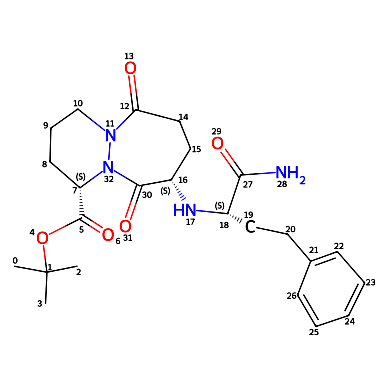 CC(C)(C)OC(=O)[C@@H]1CCCN2C(=O)CC[C@H](N[C@@H](CCc3ccccc3)C(N)=O)C(=O)N12